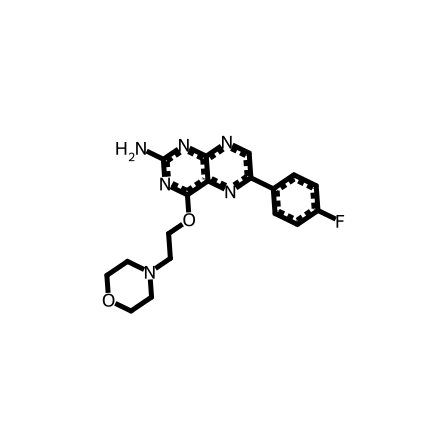 Nc1nc(OCCN2CCOCC2)c2nc(-c3ccc(F)cc3)cnc2n1